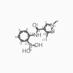 Cn1cc(C(=O)Nc2ccccc2B(O)O)c(I)n1